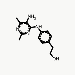 Cc1nc(C)c(N)c(Nc2ccc(CCO)cc2)n1